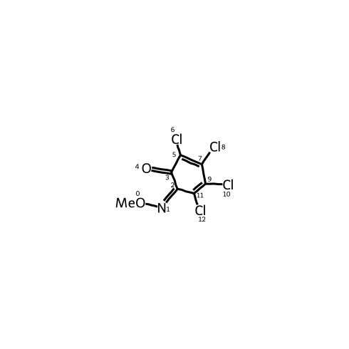 CON=C1C(=O)C(Cl)=C(Cl)C(Cl)=C1Cl